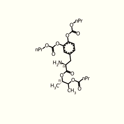 CCCOC(=O)Oc1ccc(C[C@H](N)C(=O)O[C@@H](C)C(C)OC(=O)CCC)cc1OC(=O)OCCC